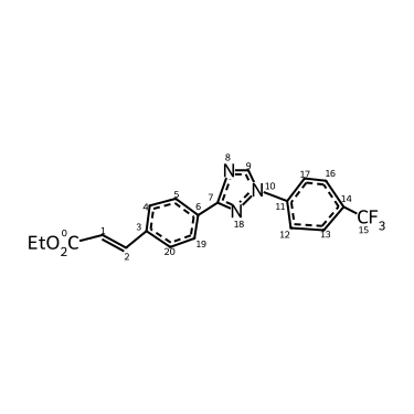 CCOC(=O)C=Cc1ccc(-c2ncn(-c3ccc(C(F)(F)F)cc3)n2)cc1